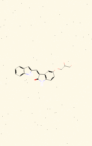 O=C1Nc2ccc(OCC(O)CO)cc2C1=Cc1cc2ccccc2[nH]1